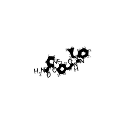 NC(=O)c1cccnc1Oc1ccc(CC(=O)Nc2nc3ccccc3n2CC2CC2)cc1F